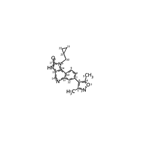 Cc1noc(C)c1-c1ccc2c(c1)ncc1[nH]c(=O)n(CC3CC3)c12